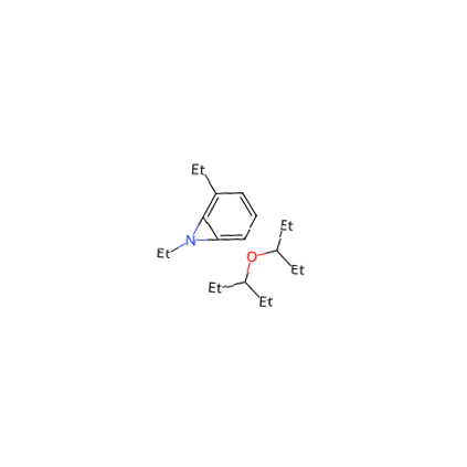 CCC(CC)OC(CC)CC.CCc1cccc2c1N2CC